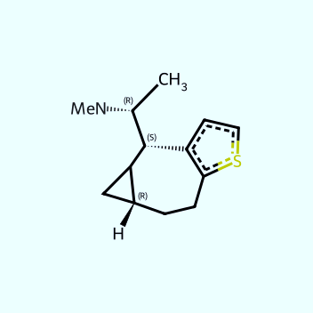 CN[C@H](C)[C@@H]1c2ccsc2CC[C@@H]2CC21